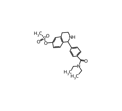 CCN(CC)C(=O)c1ccc(C2NCCc3cc(OS(C)(=O)=O)ccc32)cc1